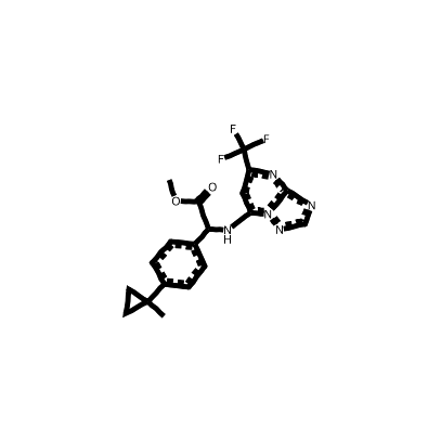 COC(=O)C(Nc1cc(C(F)(F)F)nc2ncnn12)c1ccc(C2(C)CC2)cc1